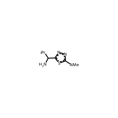 CNc1nnc(C(N)C(C)C)s1